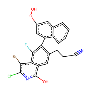 N#CCCc1cc2c(O)nc(Cl)c(Br)c2c(F)c1-c1cc(OO)cc2ccccc12